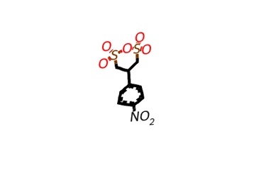 O=[N+]([O-])c1ccc(C2CS(=O)(=O)OS(=O)(=O)C2)cc1